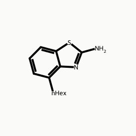 CCCCCCc1cccc2sc(N)nc12